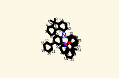 CC1(C)c2ccccc2-c2c(N(c3ccc(-c4ccccc4)cc3-n3c4ccccc4c4ccccc43)c3cccc4c3-c3ccccc3C4(C)C)cccc21